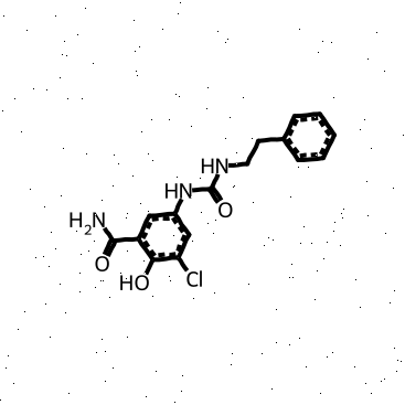 NC(=O)c1cc(NC(=O)NCCc2ccccc2)cc(Cl)c1O